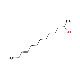 CC/C=C/CCCCCCCC(C)O